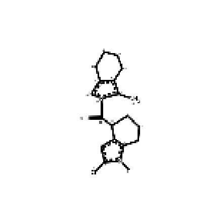 Cn1c(Cl)cc2c1CCCC2C(=O)n1nc2c(c1N)CCCC2